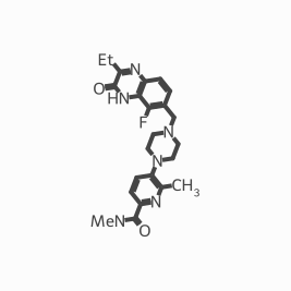 CCc1nc2ccc(CN3CCN(c4ccc(C(=O)NC)nc4C)CC3)c(F)c2[nH]c1=O